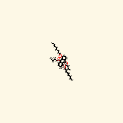 CCCCCCCCOc1cccc2c(OCCCC)c3c(OCCCCCCCC)cccc3c(OCCCC)c12